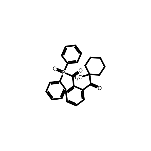 CC1(C(=O)c2ccccc2C(=O)P(=O)(c2ccccc2)c2ccccc2)CCCCC1